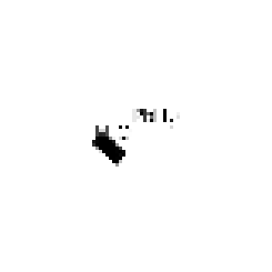 C#C.O.[PbH2]